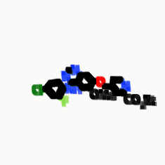 CCOC(=O)c1cc(COc2cc3ncnc(Nc4ccc(Cl)cc4F)c3cc2OC)ccn1